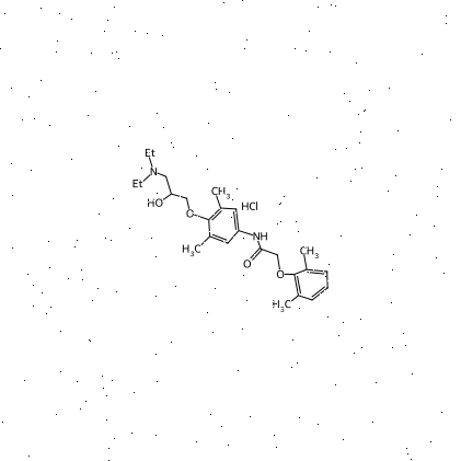 CCN(CC)CC(O)COc1c(C)cc(NC(=O)COc2c(C)cccc2C)cc1C.Cl